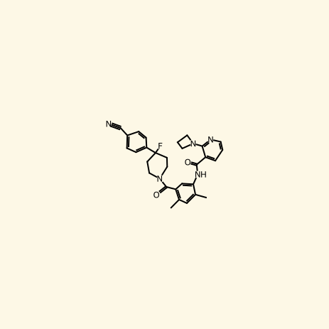 Cc1cc(C)c(C(=O)N2CCC(F)(c3ccc(C#N)cc3)CC2)cc1NC(=O)c1cccnc1N1CCC1